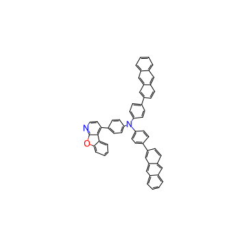 c1ccc2cc3cc(-c4ccc(N(c5ccc(-c6ccc7cc8ccccc8cc7c6)cc5)c5ccc(-c6ccnc7oc8ccccc8c67)cc5)cc4)ccc3cc2c1